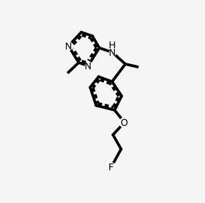 Cc1nccc(NC(C)c2cccc(OCCF)c2)n1